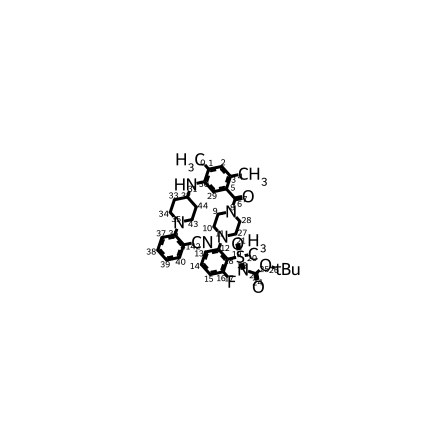 Cc1cc(C)c(C(=O)N2CCN(c3cccc(F)c3S(C)(=O)=NC(=O)OC(C)(C)C)CC2)cc1NC1CCN(c2ccccc2C#N)CC1